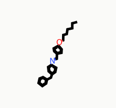 CCCCCCCOc1ccc(C=Nc2ccc(Cc3ccccc3)cc2)cc1